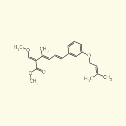 CO\C=C(C(=O)OC)/C(C)=C/C=C/c1cccc(OCC=C(C)C)c1